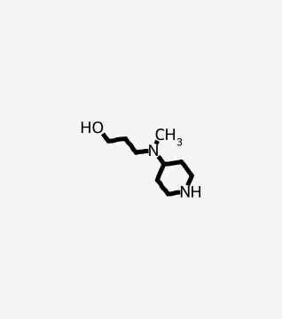 CN(CCCO)C1CCNCC1